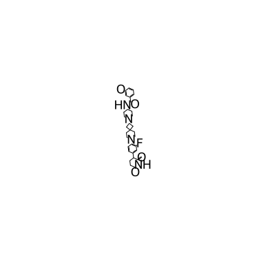 COc1cccc(C(=O)NC2CCN(C3CC4(CCN(c5ccc(C6CCC(=O)NC6=O)cc5F)CC4)C3)CC2)c1